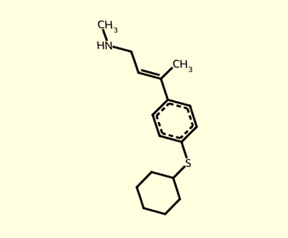 CNCC=C(C)c1ccc(SC2CCCCC2)cc1